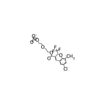 Cc1cc(Cl)cc2c1O[C@H](C(F)(F)F)C(C(=O)OCCOCCO[N+](=O)[O-])=C2